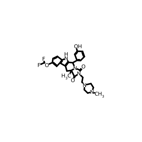 CN1CCN(CCN2C(=O)N3C(c4cccc(O)c4)c4[nH]c5ccc(OC(F)F)cc5c4CC3(C)C2=O)CC1